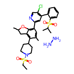 CCS(=O)(=O)N1CCC(c2c(C)cc(-c3cc(-c4ccccc4S(=O)(=O)C(C)C)c(Cl)cn3)c3c2CC(C)O3)CC1.NN